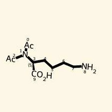 CC(=O)N(C(C)=O)[C@@H](CCCCN)C(=O)O